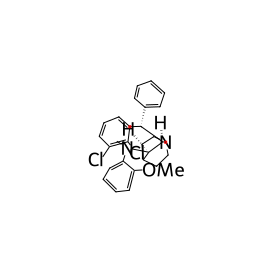 COc1ccccc1N(C)[C@@H]1C2CCN(CC2)[C@@H]1[C@@H](c1ccccc1)c1cccc(Cl)c1Cl